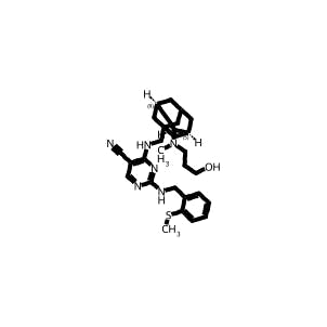 CSc1ccccc1CNc1ncc(C#N)c(NCC23CC4C[C@H](C2)[C@H](N(C)CCCO)[C@@H](C4)C3)n1